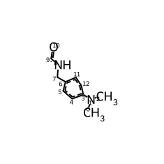 CN(C)c1ccc(CN[C]=O)cc1